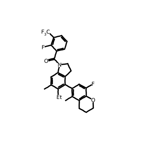 CCc1c(C)cc2c(c1-c1cc(F)c3c(c1C)CCCO3)CCN2C(=O)c1cccc(C(F)(F)F)c1F